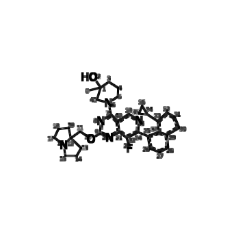 CC1(O)CCCN(c2nc(OCC34CCCN3CCC4)nc3c(F)c(-c4cccc5cccc(C6CC6)c45)ncc23)C1